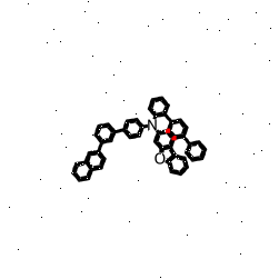 c1ccc(-c2ccc(-c3ccccc3N(c3ccc(-c4cccc(-c5ccc6ccccc6c5)c4)cc3)c3ccc4c(c3)oc3ccccc34)cc2)cc1